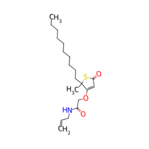 C=CCNC(=O)COC1=CC(=O)SC1(C)CCCCCCCCCC